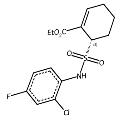 CCOC(=O)C1=CCCC[C@@H]1S(=O)(=O)Nc1ccc(F)cc1Cl